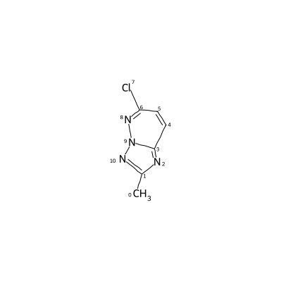 Cc1nc2ccc(Cl)nn2n1